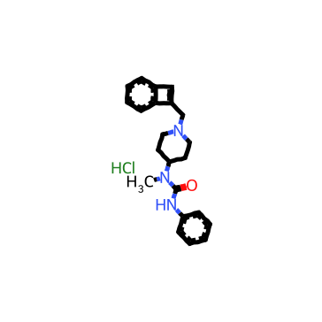 CN(C(=O)Nc1ccccc1)C1CCN(CC2=Cc3ccccc32)CC1.Cl